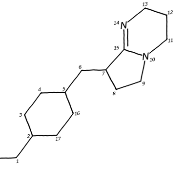 CCC1CCC(CC2CCN3CCCN=C23)CC1